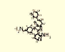 NCc1ccc(-n2c(-c3cccnc3N)nc3ccc(-c4cccnc4)nc32)cc1